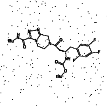 CC(C)(C)NC(=O)c1nnc2n1CCN(C(=O)C[C@@H](Cc1cc(F)c(F)cc1F)NC(=O)OC(C)(C)C)C2